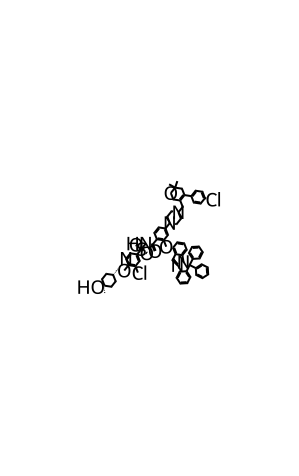 CC1(C)CC(c2ccc(Cl)cc2)=C(CN2CCN(c3ccc(C(=O)NS(=O)(=O)c4cnc(OC[C@H]5CC[C@](C)(O)CC5)c(Cl)c4)c(Oc4cccc5c4cnn5C(c4ccccc4)(c4ccccc4)c4ccccc4)c3)CC2)CO1